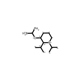 BC(P)OC1CCCN(C(C)C)C1C(C)C